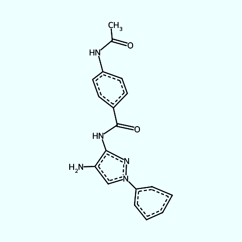 CC(=O)Nc1ccc(C(=O)Nc2nn(-c3ccccc3)cc2N)cc1